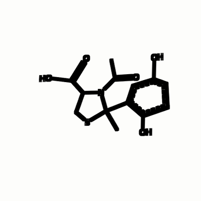 CC(=O)N1C(C(=O)O)CSC1(C)c1cc(O)ccc1O